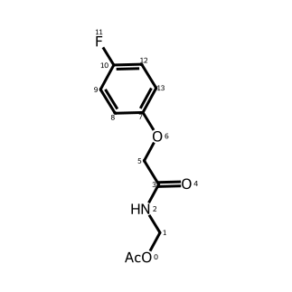 CC(=O)OCNC(=O)COc1ccc(F)cc1